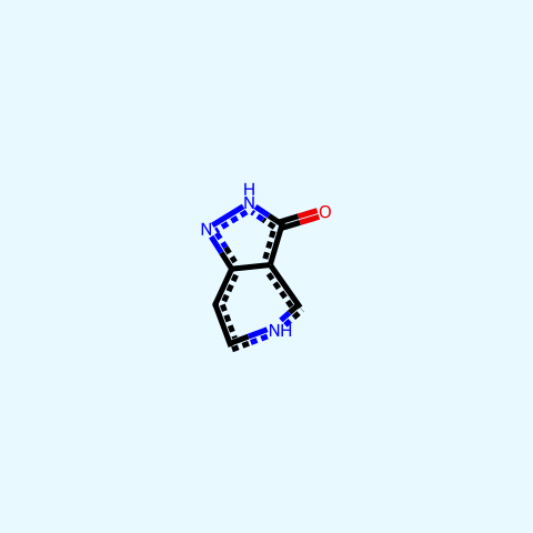 O=c1[nH]nc2cc[nH]cc1-2